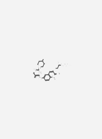 CNC(=O)COc1cc2cc(Nc3nc(N4CCC(I)CC4)ncc3Cl)ccc2n(C)c1=O